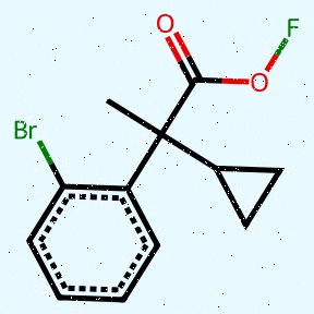 CC(C(=O)OF)(c1ccccc1Br)C1CC1